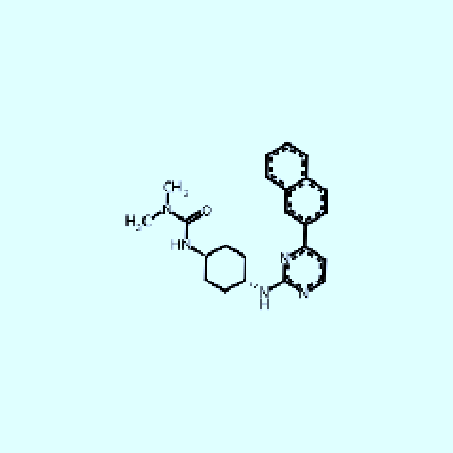 CN(C)C(=O)N[C@H]1CC[C@H](Nc2nccc(-c3ccc4ccccc4c3)n2)CC1